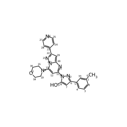 Cc1cccc(-c2cc(O)n(-c3cc(N4CCOCC4)n4nc(-c5ccncc5)cc4n3)n2)c1